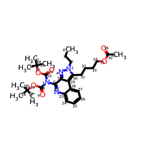 CCCn1nc2c(N(C(=O)OC(C)(C)C)C(=O)OC(C)(C)C)nc3ccccc3c2c1CCCCOC(C)=O